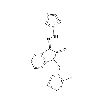 O=C1C(=NNc2nncs2)c2ccccc2N1Cc1ccccc1F